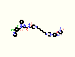 O=C1CCC(Nc2ccc(N3CCN(CCCCCCCCN4CCC(O)(CNC(=O)c5cc(NC(=O)c6cc(-c7ccccn7)c(Cl)cc6Cl)n(-c6ccccc6)n5)CC4)CC3)cc2)C(=O)N1